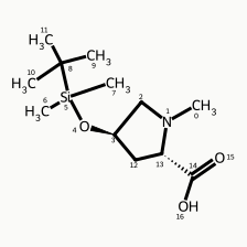 CN1C[C@H](O[Si](C)(C)C(C)(C)C)C[C@H]1C(=O)O